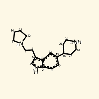 c1cc2[nH]cc(CCN3CCCC3)c2cc1C1CCNCC1